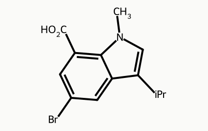 CC(C)c1cn(C)c2c(C(=O)O)cc(Br)cc12